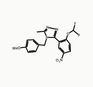 COc1ccc(Cn2c(C)nnc2-c2cc([N+](=O)[O-])ccc2OC(F)F)cc1